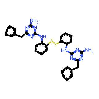 Nc1nc(Cc2ccccc2)nc(Nc2ccccc2SSc2ccccc2Nc2nc(N)nc(Cc3ccccc3)n2)n1